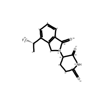 C[C@@H](c1cccc2c1CN(C1CCC(=O)NC1=O)C2=O)C(F)(F)F